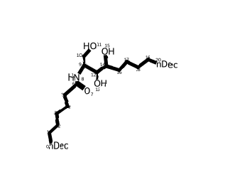 CCCCCCCCCCCCCCCC(=O)N[C@@H](CO)[C@H](O)C(O)CCCCCCCCCCCCCC